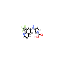 O=C(O)N1CC[C@H](Nc2cc(C(F)(F)F)c3ncccc3c2)C1